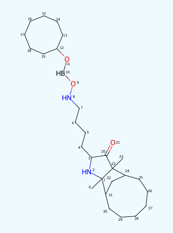 CC12NC(CCCCNOBOC3CCCCCCC3)C(=O)C1(C)C1CCCCCCC2C1